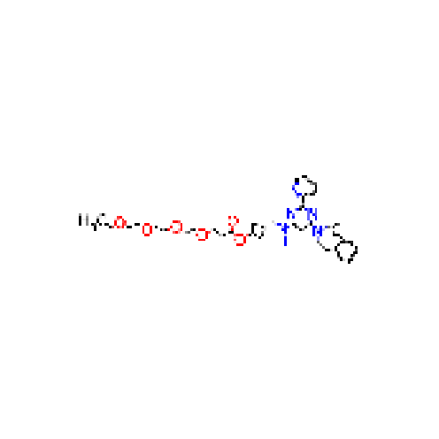 CCOCCOCCOCCOCCC(=O)O[C@H]1C[C@H](CNc2cc(N3CCc4ccccc4CC3)nc(-c3ccccn3)n2)C1